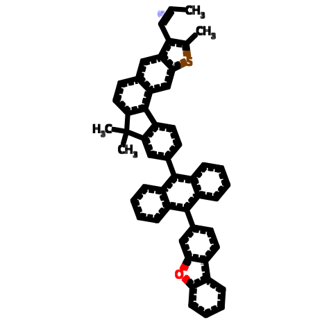 C/C=C\c1c(C)sc2cc3c4c(ccc3cc12)C(C)(C)c1cc(-c2c3ccccc3c(-c3ccc5c(c3)oc3ccccc35)c3ccccc23)ccc1-4